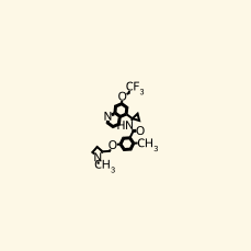 Cc1ccc(OCC2CCN2C)cc1C(=O)NC1(c2cc(OCC(F)(F)F)cc3ncccc23)CC1